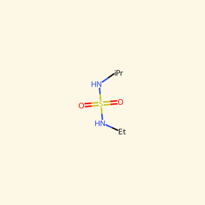 CCNS(=O)(=O)NC(C)C